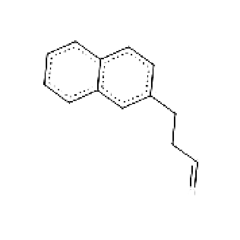 O=[C]CCc1ccc2ccccc2c1